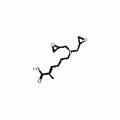 C/C(=C\CCCN(CC1CO1)CC1CO1)C(=O)O